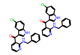 O=C(c1cccnc1NCc1ccccc1)c1c[nH]c2ccc(Cl)cc12.O=C(c1cccnc1NCc1ccccc1)c1c[nH]c2ccc(Cl)cc12